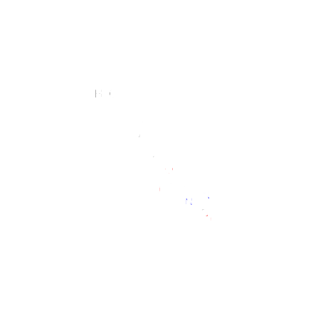 CCCCCCCOC(=O)C1=NC(=O)N=C1